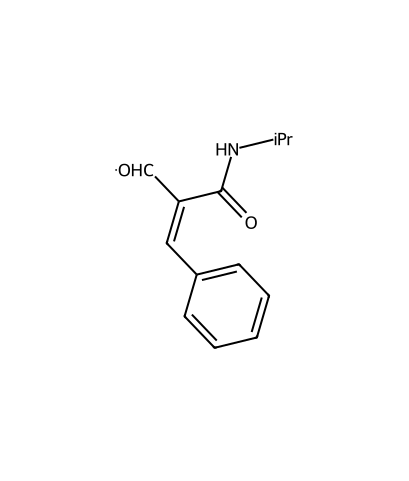 CC(C)NC(=O)C([C]=O)=Cc1ccccc1